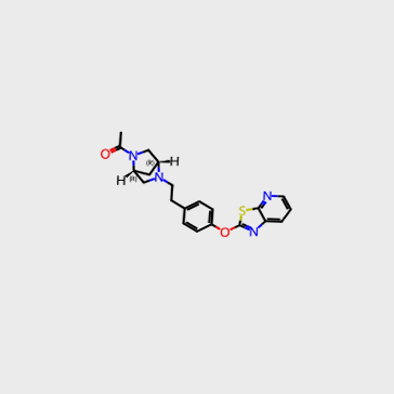 CC(=O)N1C[C@H]2C[C@@H]1CN2CCc1ccc(Oc2nc3cccnc3s2)cc1